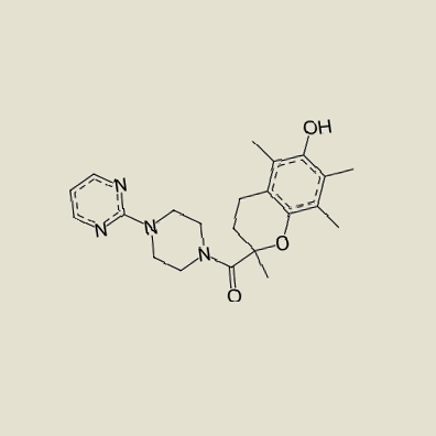 Cc1c(C)c2c(c(C)c1O)CCC(C)(C(=O)N1CCN(c3ncccn3)CC1)O2